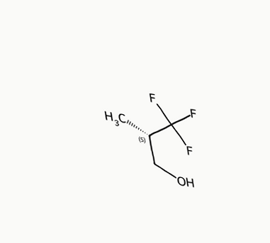 C[C@@H](CO)C(F)(F)F